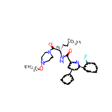 CCOC(=O)ON1CCN(C(=O)[C@H](CCC(=O)O)NC(=O)c2cc(-c3ccccc3)cc(-c3ccccc3F)n2)CC1